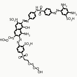 Nc1cc(N)c(S(=O)(=O)O)cc1/N=N/c1ccc(S(=O)(=O)Nc2ccc(/N=N/c3c(S(=O)(=O)O)cc4cc(SOOO)c(/N=N/c5ccc(S(=O)(=O)CCOSOOO)cc5S(=O)(=O)O)c(N)c4c3O)cc2)cc1